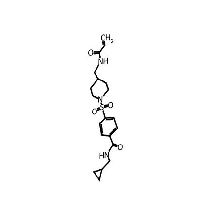 C=CC(=O)NCC1CCN(S(=O)(=O)c2ccc(C(=O)NCC3CC3)cc2)CC1